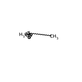 CCCCCCCCCCCCCCCCCCC1CCN(C(C(=O)OC)c2ccccc2F)C(=S)C1